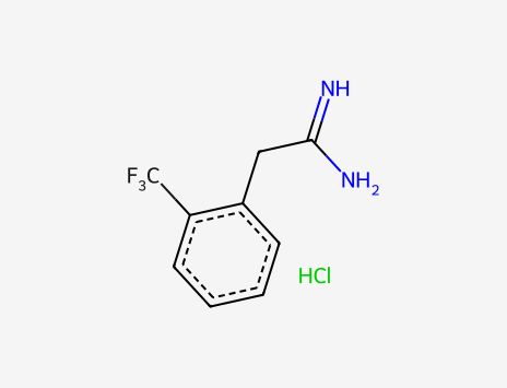 Cl.N=C(N)Cc1ccccc1C(F)(F)F